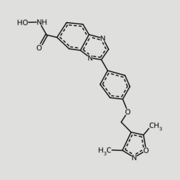 Cc1noc(C)c1COc1ccc(-c2cnc3ccc(C(=O)NO)cc3n2)cc1